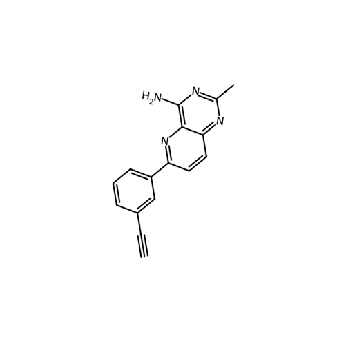 C#Cc1cccc(-c2ccc3nc(C)nc(N)c3n2)c1